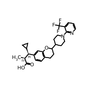 C[C@H](C(=O)O)[C@H](c1ccc2c(c1)OC(C1CCN(c3ncccc3C(F)(F)F)CC1)CC2)C1CC1